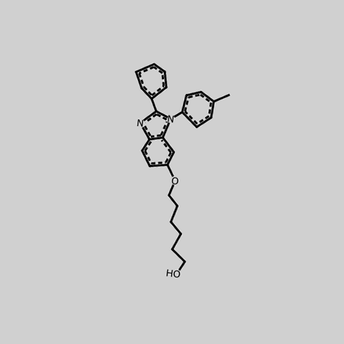 Cc1ccc(-n2c(-c3ccccc3)nc3ccc(OCCCCCCO)cc32)cc1